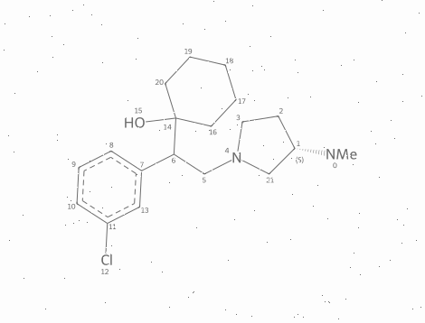 CN[C@H]1CCN(CC(c2cccc(Cl)c2)C2(O)CCCCC2)C1